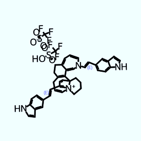 C1=CN(/C=C/c2ccc3[nH]ccc3c2)C=C2C(=C1)CCC1=C2C23C=CC(/C=C/c4ccc5[nH]ccc5c4)=C[N+]2(C=CC1)CCCC3.O=S(=O)(O)C(F)(F)F.O=S(=O)([O-])C(F)(F)F